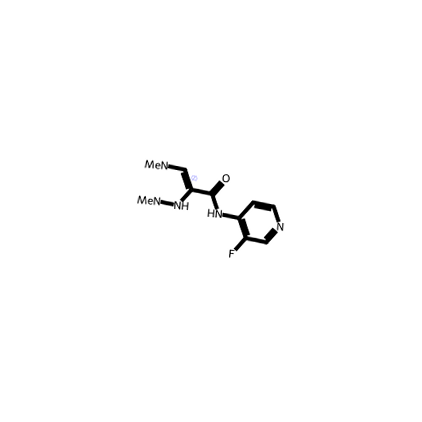 CN/C=C(\NNC)C(=O)Nc1ccncc1F